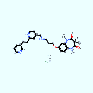 CCN1C(=O)C(CC)(CC)C(=O)N(CC)c2cc(OCCCNCc3ccnc(CCc4cccnc4)c3)ccc21.Cl.Cl.Cl